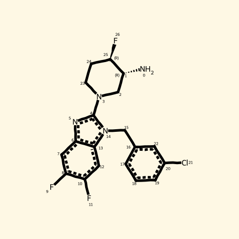 N[C@@H]1CN(c2nc3cc(F)c(F)cc3n2Cc2cccc(Cl)c2)CC[C@H]1F